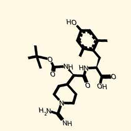 Cc1cc(O)cc(C)c1C[C@H](NC(=O)[C@H](NC(=O)OC(C)(C)C)C1CCN(C(=N)N)CC1)C(=O)O